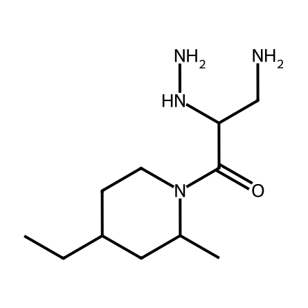 CCC1CCN(C(=O)C(CN)NN)C(C)C1